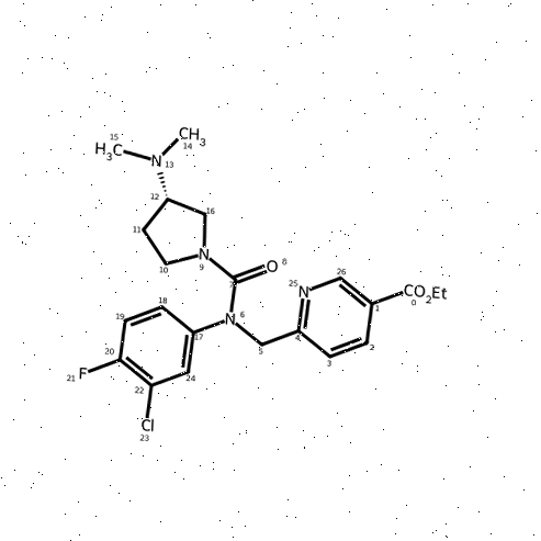 CCOC(=O)c1ccc(CN(C(=O)N2CC[C@H](N(C)C)C2)c2ccc(F)c(Cl)c2)nc1